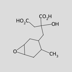 CC1CC2OC2CC1CC(O)(CC(=O)O)C(=O)O